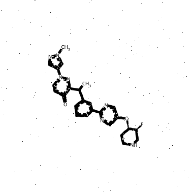 CC(c1cccc(-c2ncc(O[C@@H]3CCNC[C@@H]3F)cn2)c1)c1nn(-c2cnn(C)c2)ccc1=O